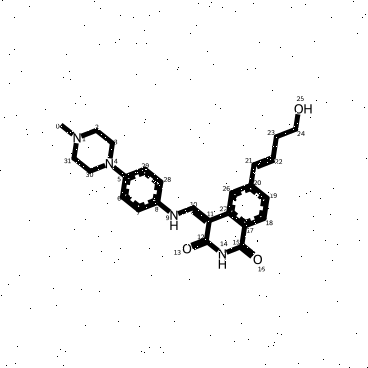 CN1CCN(c2ccc(NC=C3C(=O)NC(=O)c4ccc(C=CCCO)cc43)cc2)CC1